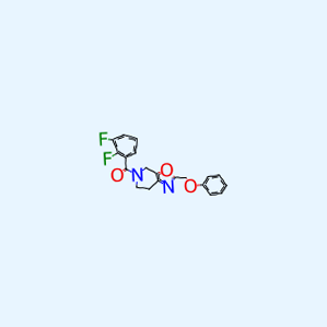 O=C(c1cccc(F)c1F)N1CCc2nc(COc3ccccc3)oc2C1